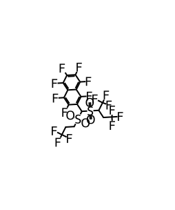 O=S(=O)(CCC(F)(F)F)C(c1c(F)c(F)c2c(F)c(F)c(F)c(F)c2c1F)S(=O)(=O)C(CC(F)(F)F)C(F)(F)F